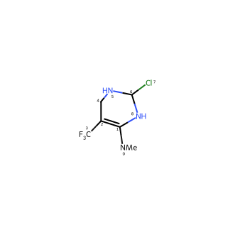 CNC1=C(C(F)(F)F)CNC(Cl)N1